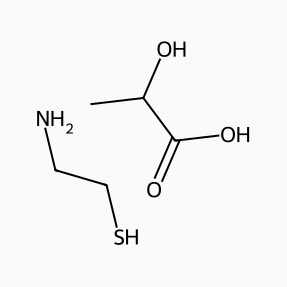 CC(O)C(=O)O.NCCS